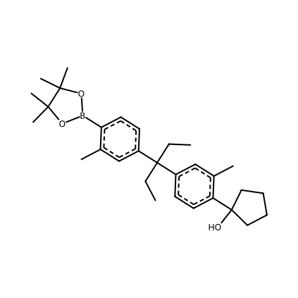 CCC(CC)(c1ccc(B2OC(C)(C)C(C)(C)O2)c(C)c1)c1ccc(C2(O)CCCC2)c(C)c1